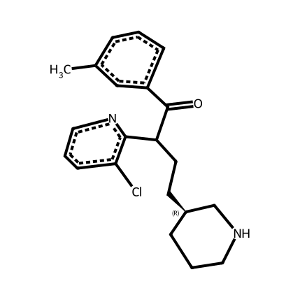 Cc1cccc(C(=O)C(CC[C@@H]2CCCNC2)c2ncccc2Cl)c1